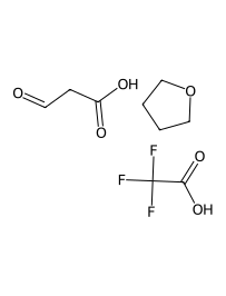 C1CCOC1.O=C(O)C(F)(F)F.O=CCC(=O)O